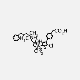 CN(C[C@H](O)CNC(C)(C)CC1Cc2ccccc2C1)S(=O)(=O)c1cc(-c2ccc(CC(=O)O)cc2)c(Cl)s1